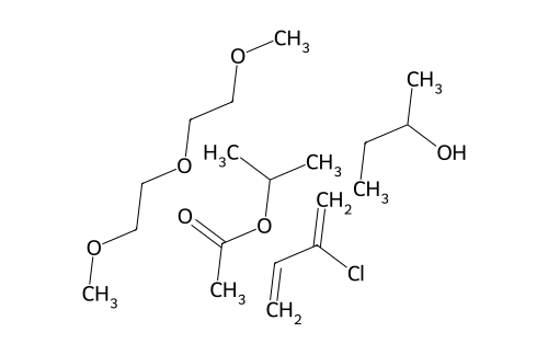 C=CC(=C)Cl.CC(=O)OC(C)C.CCC(C)O.COCCOCCOC